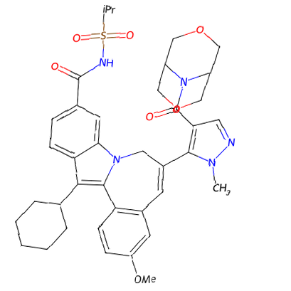 COc1ccc2c(c1)C=C(c1c(C(=O)N3C4COCC3COC4)cnn1C)Cn1c-2c(C2CCCCC2)c2ccc(C(=O)NS(=O)(=O)C(C)C)cc21